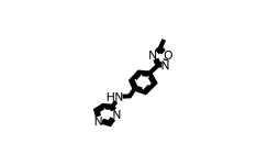 Cc1nc(-c2ccc(CNc3ccncn3)cc2)no1